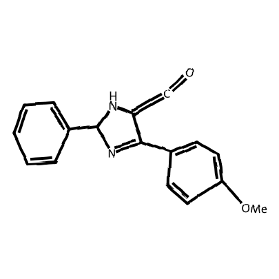 COc1ccc(C2=NC(c3ccccc3)NC2=C=O)cc1